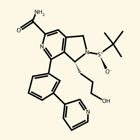 CC(C)(C)[S@@+]([O-])N1Cc2cc(C(N)=O)nc(-c3cccc(-c4cccnc4)c3)c2[C@H]1CCCO